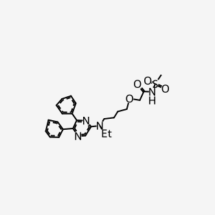 CCN(CCCCOCC(=O)NS(C)(=O)=O)c1cnc(-c2ccccc2)c(-c2ccccc2)n1